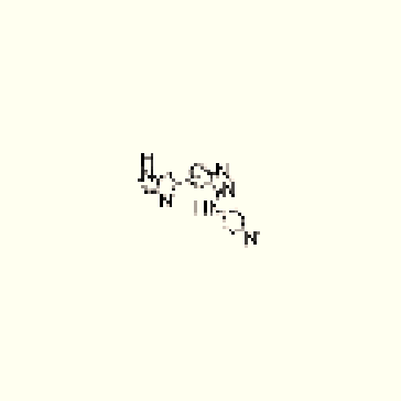 CN(C)C1CCC(Nc2ncnc3ccc(-c4cnc5cc[nH]c5c4)cc23)CC1